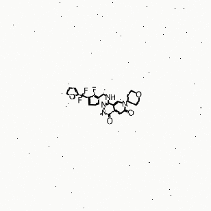 C[C@H](Nc1nn(C)c(=O)c2cc(=O)n(C3CCOCC3)cc12)c1cccc(C(F)(F)[C@@H]2CCCO2)c1F